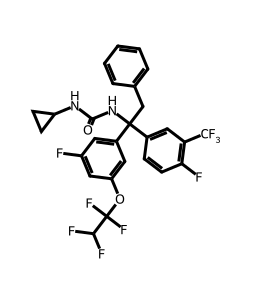 O=C(NC1CC1)NC(Cc1ccccc1)(c1cc(F)cc(OC(F)(F)C(F)F)c1)c1ccc(F)c(C(F)(F)F)c1